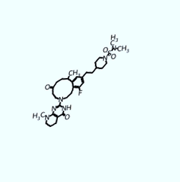 CC1CCC(=O)CCN(c2nc3c(c(=O)[nH]2)CCCN3C)CCc2c(F)cc(CCC3CCN(S(=O)(=O)N(C)C)CC3)cc21